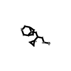 CCOCC(CN1C2CCC1COC2)C1CC1